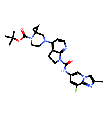 Cc1cn2cc(NC(=O)N3CCc4c(N5CCN(C(=O)OC(C)(C)C)C6(CC6)C5)ccnc43)cc(F)c2n1